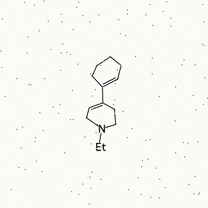 CCN1CC=C(C2=CCCCC2)CC1